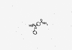 NC(=O)C1CCN(C(=NO)OCc2ccccc2)CC1